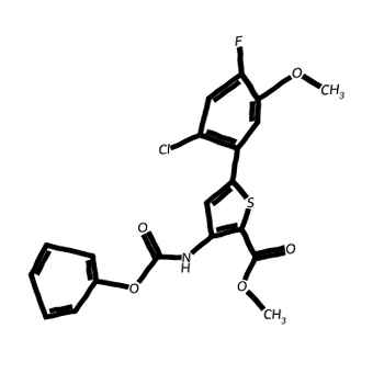 COC(=O)c1sc(-c2cc(OC)c(F)cc2Cl)cc1NC(=O)Oc1ccccc1